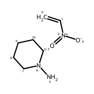 C=C[N+](=O)[O-].NN1CCCCC1